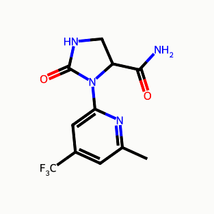 Cc1cc(C(F)(F)F)cc(N2C(=O)NCC2C(N)=O)n1